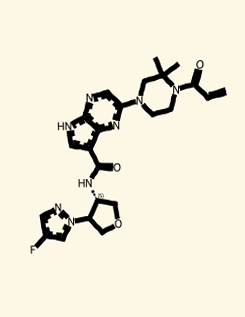 C=CC(=O)N1CCN(c2cnc3[nH]cc(C(=O)N[C@@H]4COCC4n4cc(F)cn4)c3n2)CC1(C)C